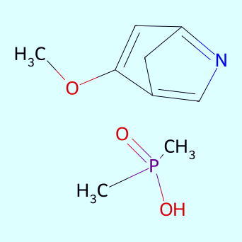 COC1=CC2=NC=C1C2.CP(C)(=O)O